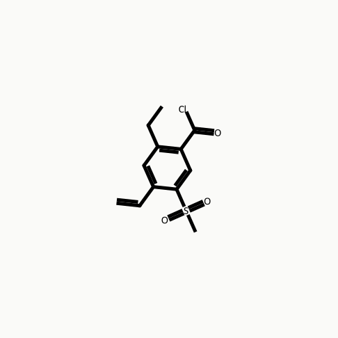 C=Cc1cc(CC)c(C(=O)Cl)cc1S(C)(=O)=O